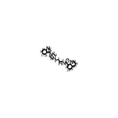 O=C(NCCCCN1CCN(c2snc3ccccc23)CC1)c1cccc2cccnc12